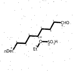 CCCCCCCCCCCCCCCCCC=O.CCOS(=O)(=O)O